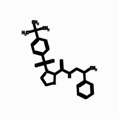 CC(CNC(=O)C1SCCN1S(=O)(=O)c1ccc(C(C)(C)C)cc1)c1ccccc1